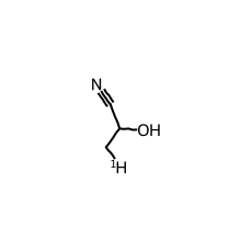 [1H]CC(O)C#N